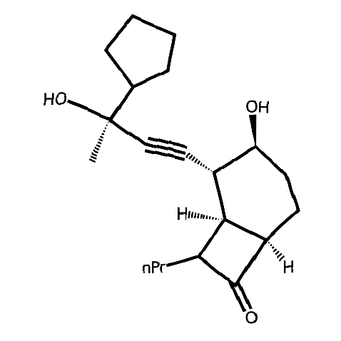 CCCC1C(=O)[C@@H]2CC[C@H](O)[C@@H](C#C[C@@](C)(O)C3CCCC3)[C@H]12